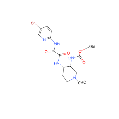 CC(C)(C)OC(=O)N[C@@H]1CN(C=O)CC[C@@H]1NC(=O)C(=O)Nc1ccc(Br)cn1